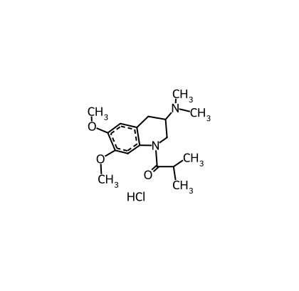 COc1cc2c(cc1OC)N(C(=O)C(C)C)CC(N(C)C)C2.Cl